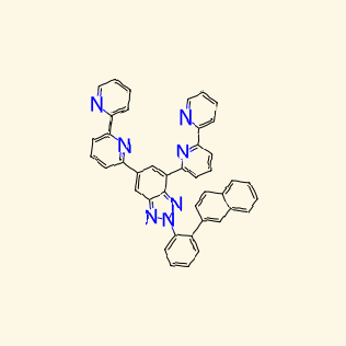 c1ccc(-c2cccc(-c3cc(-c4cccc(-c5ccccn5)n4)c4nn(-c5ccccc5-c5ccc6ccccc6c5)nc4c3)n2)nc1